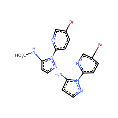 Nc1ccnn1-c1ccc(Br)cn1.O=C(O)Nc1ccnn1-c1ccc(Br)cn1